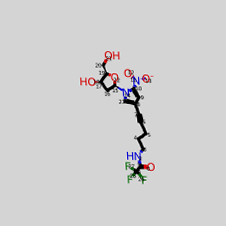 O=C(NCCCC#Cc1cc([N+](=O)[O-])n([C@H]2C[C@H](O)[C@@H](CO)O2)c1)C(F)(F)F